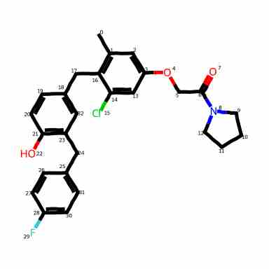 Cc1cc(OCC(=O)N2CCCC2)cc(Cl)c1Cc1ccc(O)c(Cc2ccc(F)cc2)c1